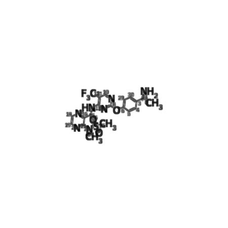 C[C@@H](N)c1ccc(Oc2ncc(C(F)(F)F)c(NCc3nccnc3N(C)S(C)(=O)=O)n2)cc1